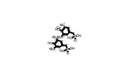 CC(C)(C)c1cc(CP(=O)(O)O)cc(C(C)(C)C)c1O.CC(C)(C)c1cc(CP(=O)(O)O)cc(C(C)(C)C)c1O.[Ca]